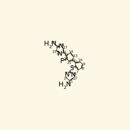 Nc1cnc(Sc2ccccc2-c2ccc(-c3cnc(N)cn3)c(F)c2)nc1